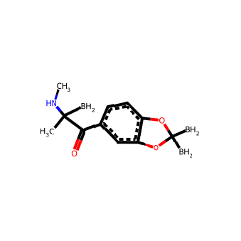 BC1(B)Oc2ccc(C(=O)C(B)(C)NC)cc2O1